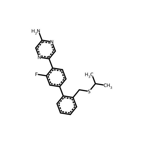 CC(C)SCc1ccccc1-c1ccc(-c2cnc(N)cn2)c(F)c1